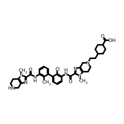 Cc1c(NC(=O)c2nc3c(n2C)CCNC3)cccc1-c1cccc(NC(=O)c2nc3c(n2C)CCN(CCC2CCC(C(=O)O)CC2)C3)c1Cl